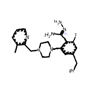 Cc1cccnc1CN1CCN(c2cc(CC(C)C)cc(F)c2/C(N)=N/N)CC1